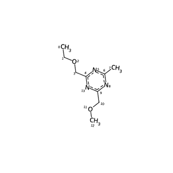 CCOCc1nc(C)nc(COC)n1